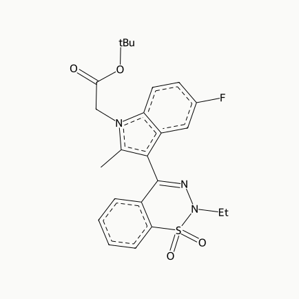 CCN1N=C(c2c(C)n(CC(=O)OC(C)(C)C)c3ccc(F)cc23)c2ccccc2S1(=O)=O